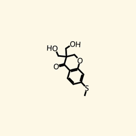 CSc1ccc2c(c1)OCC(CO)(CO)C2=O